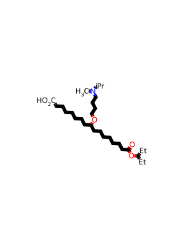 CCC(CC)OC(=O)CCCCCCCC(CCCCCCCC(=O)O)OCCCCN(C)C(C)C